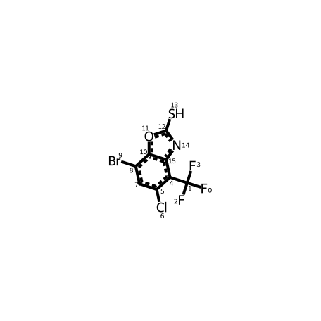 FC(F)(F)c1c(Cl)cc(Br)c2oc(S)nc12